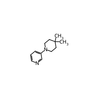 CC1(C)CCN(c2cccnc2)CC1